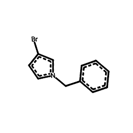 Brc1ccn(Cc2ccccc2)c1